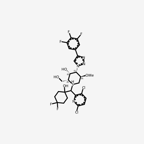 CO[C@H]1C[SH](C(c2nc(Cl)ccc2Cl)C2(O)CCC(F)(F)CC2)[C@H](CO)[C@H](O)[C@@H]1n1cc(-c2cc(F)c(F)c(F)c2)nn1